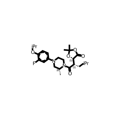 CC(C)C[C@H](C(=O)N1CCN(c2ccc(OC(C)C)c(F)c2)C[C@H]1C)[C@@H]1OC(C)(C)OC1=O